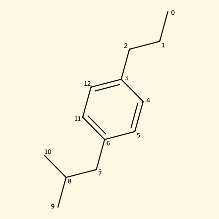 CCCc1ccc([CH]C(C)C)cc1